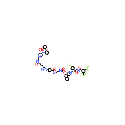 CN(CCN1CCC(N(C(=O)O)c2ccccc2-c2ccccc2)CC1)C(=O)CCCCCNc1ccc(C(=O)N(C)CCCN(C)C(=O)CO[C@H]2Cc3ccccc3C23CCN(CC[C@@]2(c4ccc(F)cc4)CN(C(=O)c4cc(C(F)(F)F)cc(C(F)(F)F)c4)CO2)CC3)cc1